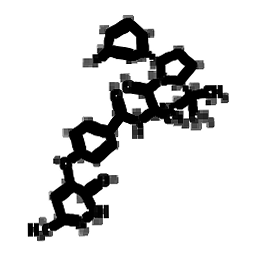 Cc1cc(Oc2ccc(C(=O)NC(C)C(=O)N3[C@H](c4cccc(F)c4)CC[C@@H]3C(C)(C)C#N)cc2)c(=O)[nH]n1